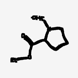 CCOC(=O)C1CCCN1[C]=O